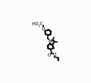 C=CCOC(=O)c1ccc2c(c1)c(C)c(C)n2Cc1cccc(OCC(=O)O)c1